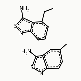 CCc1cccc2nsc(N)c12.Cc1ccc2nsc(N)c2c1